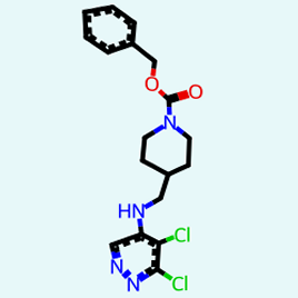 O=C(OCc1ccccc1)N1CCC(CNc2cnnc(Cl)c2Cl)CC1